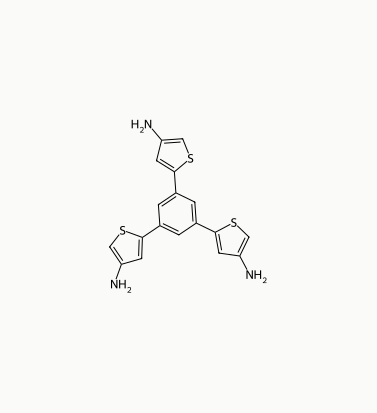 Nc1csc(-c2cc(-c3cc(N)cs3)cc(-c3cc(N)cs3)c2)c1